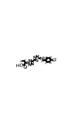 CCC(C(=O)O)n1nnc(-c2nnc(NCc3ccc(Cl)cc3)s2)n1